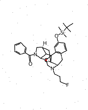 CC(C)(C)[Si](C)(C)Oc1ccc2c(c1)C13CCN(CCCF)C(C2)C12CCC1C3[C@@H](CN1C(=O)c1ccccc1)C2